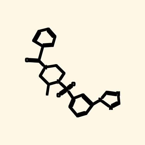 CC1CN(C(=O)c2ccccc2)CCN1S(=O)(=O)c1cccc(-n2cncn2)c1